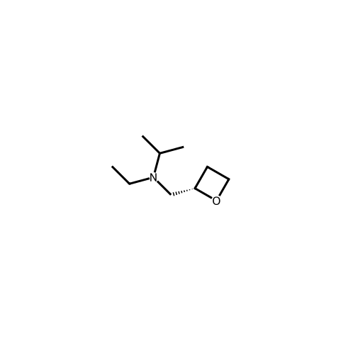 CCN(C[C@@H]1CCO1)C(C)C